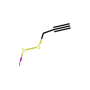 C#CCSSI